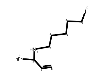 C=CC(CCC)NCCCCCI